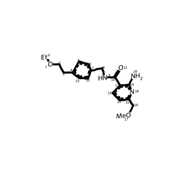 CCOCCc1ccc(CNC(=O)c2ccc(COC)nc2N)cc1